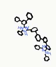 N/C(=N\C(NCC1C=CC=CC1)c1cccc(-c2cccc(C3=CC(C4=CCCC(C5N=C(C6C=C(C7=CC=CCC7)C=C(C7C=CC=CC7)C6)NC(c6ccccc6)N5)C4)CCC3)c2)c1)C1=CC=CCC1